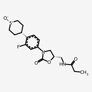 CCC(=O)NC[C@H]1CN(c2ccc([C@H]3CC[S@@+]([O-])CC3)c(F)c2)C(=O)O1